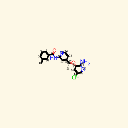 Cc1cccc(C(=O)Nc2cc([C@@H](C)Oc3cc(Cl)cnc3N)ccn2)c1